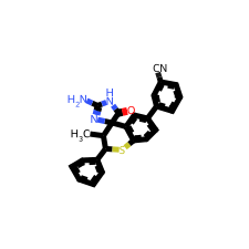 CC1C(c2ccccc2)Sc2ccc(-c3cccc(C#N)c3)cc2C12N=C(N)NC2=O